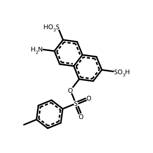 Cc1ccc(S(=O)(=O)Oc2cc(S(=O)(=O)O)cc3cc(S(=O)(=O)O)c(N)cc23)cc1